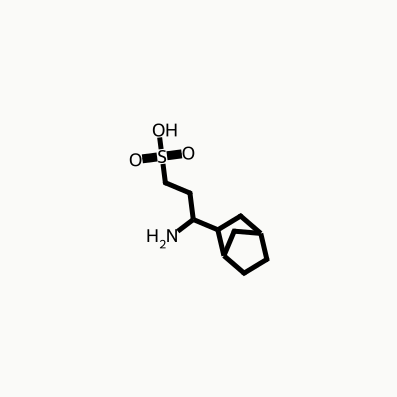 NC(CCS(=O)(=O)O)C1CC2CCC1C2